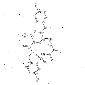 CC(C)C(=O)NS(=O)(=O)c1cc(Cl)ccc1OCC(=O)N1C[C@H](C)N(Cc2ccc(F)cc2)C[C@H]1C